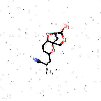 C[C@@H](C#N)CC1CCC2OC3CC2(COC3O)O1